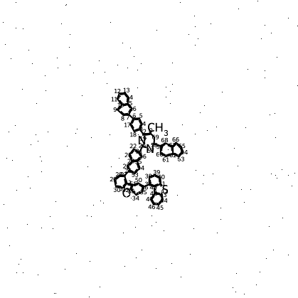 CC1=C(c2ccc(-c3ccc4ccccc4c3)cc2)N=C(c2ccc3cc(-c4cccc5oc6ccc(-c7cccc8sc9ccccc9c78)cc6c45)ccc3c2)N=C(c2ccc3ccccc3c2)C1